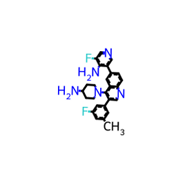 Cc1cc(F)cc(-c2cnc3ccc(-c4cncc(F)c4N)cc3c2N2CCC(N)CC2)c1